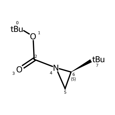 CC(C)(C)OC(=O)N1C[C@@H]1C(C)(C)C